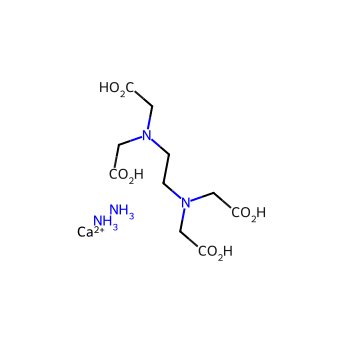 N.N.O=C(O)CN(CCN(CC(=O)O)CC(=O)O)CC(=O)O.[Ca+2]